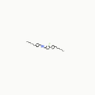 C=CCCCCCc1ccc(C=NN=Cc2ccc(-c3ccc(CCCCCCC)cc3)c(F)c2)cc1